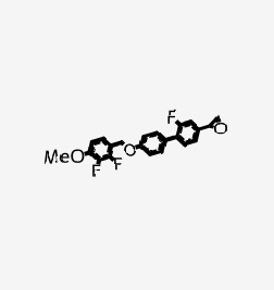 COc1ccc(COc2ccc(-c3ccc(C4CO4)cc3F)cc2)c(F)c1F